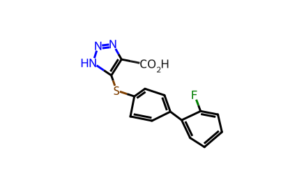 O=C(O)c1nn[nH]c1Sc1ccc(-c2ccccc2F)cc1